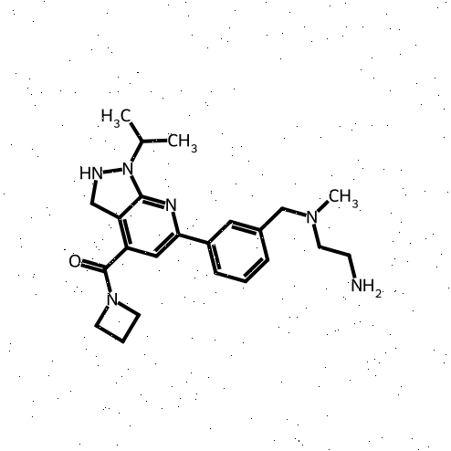 CC(C)N1NCc2c(C(=O)N3CCC3)cc(-c3cccc(CN(C)CCN)c3)nc21